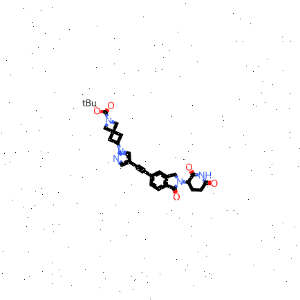 CC(C)(C)OC(=O)N1CC2(CC(n3cc(C#Cc4ccc5c(c4)CN(C4CCC(=O)NC4=O)C5=O)cn3)C2)C1